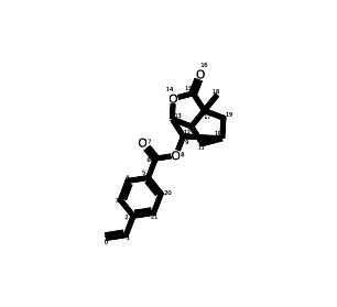 C=Cc1ccc(C(=O)OC2C3CC4C2OC(=O)C4(C)C3)cc1